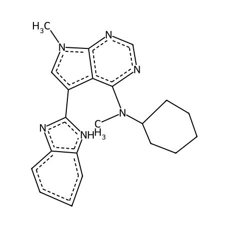 CN(c1ncnc2c1c(-c1nc3ccccc3[nH]1)cn2C)C1CCCCC1